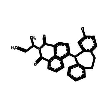 C=CC(C)N1C(=O)c2cccc3c(N4c5ccccc5CCc5ccc(Cl)cc54)ccc(c23)C1=O